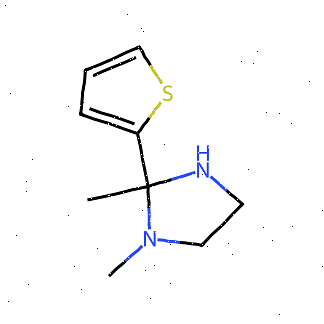 CN1CCNC1(C)c1cccs1